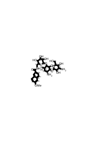 COc1ccc2cc(C(=O)NCC3OC(OC4C(N)C[C@H](N)C(OC5OC(CO)C(O)C(N)C5O)C4O)C(O)C(O)C3O)ccc2c1